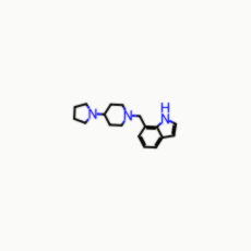 c1cc(CN2CCC(N3CCCC3)CC2)c2[nH]ccc2c1